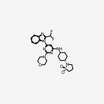 O=S1(=O)CCCN1[C@H]1CC[C@H](Nc2cc(-n3c(C(F)F)nc4ccccc43)nc(N3CCOCC3)n2)CC1